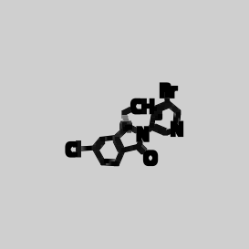 CC[C@H]1c2cc(Cl)ccc2C(=O)N1c1cncc(Br)c1